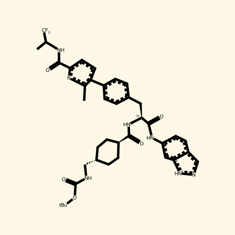 Cc1nc(C(=O)NC(C)C(F)(F)F)ccc1-c1ccc(C[C@H](NC(=O)[C@H]2CC[C@H](CNC(=O)OC(C)(C)C)CC2)C(=O)Nc2ccc3cn[nH]c3c2)cc1